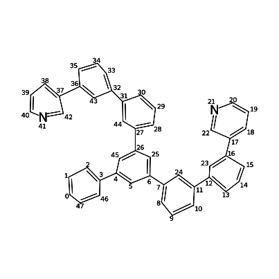 c1ccc(-c2cc(-c3cccc(-c4cccc(-c5cccnc5)c4)c3)cc(-c3cccc(-c4cccc(-c5cccnc5)c4)c3)c2)cc1